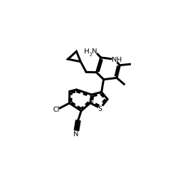 CC1=C(C)C(c2csc3c(C#N)c(Cl)ccc23)C(CC2CC2)=C(N)N1